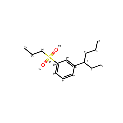 CCCC(CC)c1cccc(S(=O)(=O)CCC)c1